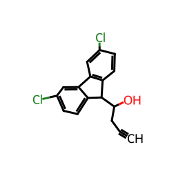 C#CCC(O)C1c2ccc(Cl)cc2-c2cc(Cl)ccc21